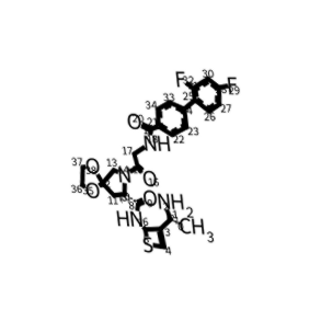 C[C@@H](N)C1=CSC1NC(=O)[C@@H]1CC2(CN1C(=O)CNC(=O)c1ccc(-c3ccc(F)cc3F)cc1)OCCO2